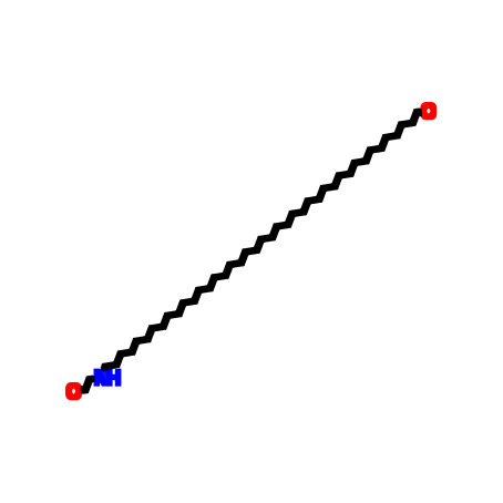 O=CCCCCCCCCCCCCCCCCCCCCCCCCCCCCCCCCCCCCCCCCNCC=O